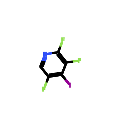 Fc1cnc(F)c(F)c1I